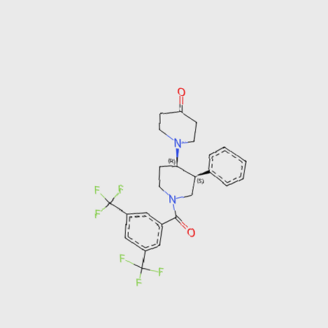 O=C1CCN([C@@H]2CCN(C(=O)c3cc(C(F)(F)F)cc(C(F)(F)F)c3)C[C@@H]2c2ccccc2)CC1